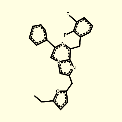 CCc1ccc(Cc2cn3cc(-c4ccccc4)nc(Cc4cccc(F)c4F)c3n2)o1